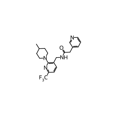 CC1CCN(c2nc(C(F)(F)F)ccc2CNC(=O)Cc2cccnc2)CC1